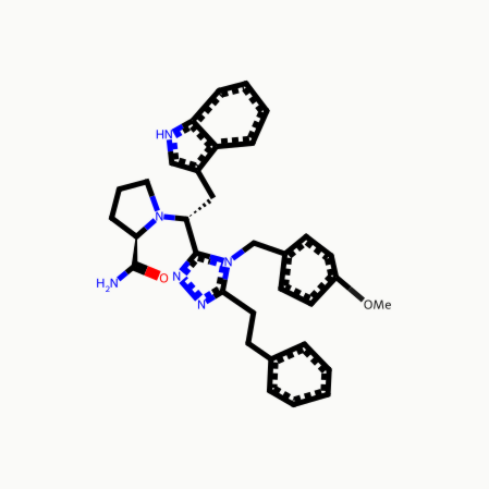 COc1ccc(Cn2c(CCc3ccccc3)nnc2[C@@H](Cc2c[nH]c3ccccc23)N2CCC[C@@H]2C(N)=O)cc1